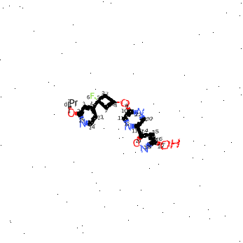 CC(C)Oc1cc([C@]2(F)C[C@@H](Oc3cnc(-c4cc(O)no4)cn3)C2)ccn1